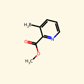 Bc1cccnc1C(=O)OC